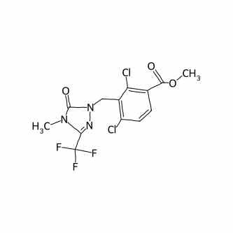 COC(=O)c1ccc(Cl)c(Cn2nc(C(F)(F)F)n(C)c2=O)c1Cl